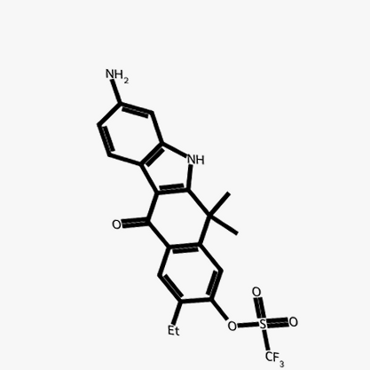 CCc1cc2c(cc1OS(=O)(=O)C(F)(F)F)C(C)(C)c1[nH]c3cc(N)ccc3c1C2=O